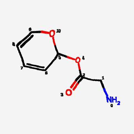 NCC(=O)OC1C=CC=CO1